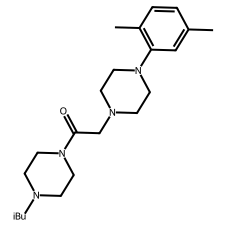 CCC(C)N1CCN(C(=O)CN2CCN(c3cc(C)ccc3C)CC2)CC1